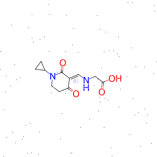 O=C(O)CN/C=C1\C(=O)CCN(C2CC2)C1=O